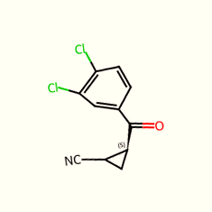 N#CC1C[C@@H]1C(=O)c1ccc(Cl)c(Cl)c1